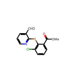 COC(=O)c1cccc(Cl)c1Sc1ncccc1C=O